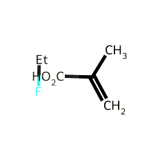 C=C(C)C(=O)O.CCF